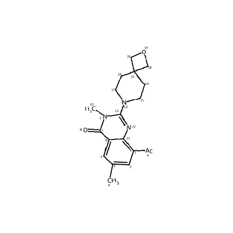 CC(=O)c1cc(C)cc2c(=O)n(C)c(N3CCC4(CC3)COC4)nc12